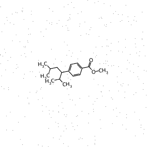 COC(=O)c1ccc(C(CC(C)C)C(C)C)cc1